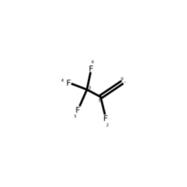 [CH]=C(F)C(F)(F)F